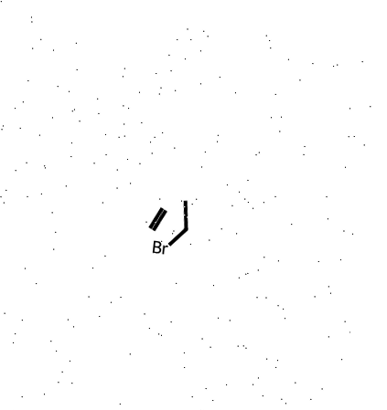 C=C.CCBr